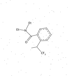 CCN(CC)C(=O)c1ccccc1C(C)C(F)(F)F